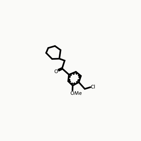 COc1cc(C(=O)CC2CCCCC2)ccc1CCl